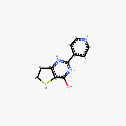 Oc1nc(-c2ccncc2)nc2c1SCC2